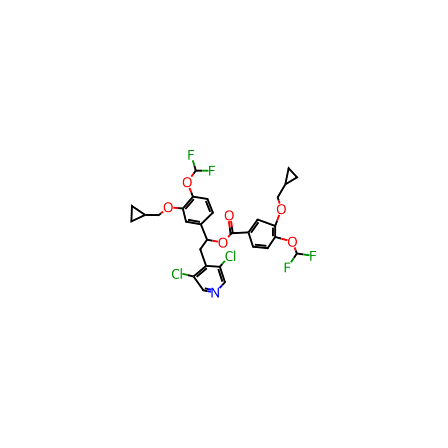 O=C(OC(Cc1c(Cl)cncc1Cl)c1ccc(OC(F)F)c(OCC2CC2)c1)c1ccc(OC(F)F)c(OCC2CC2)c1